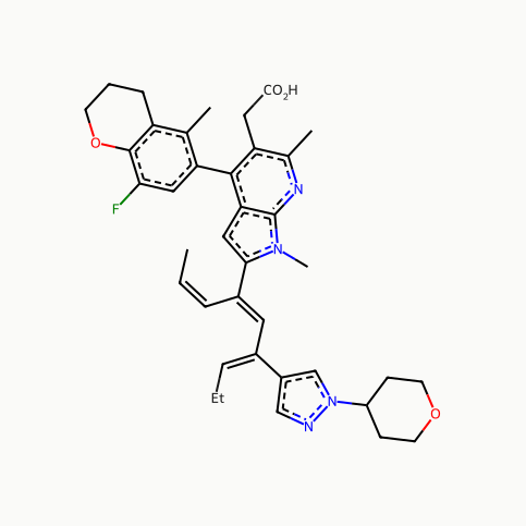 C\C=C/C(=C\C(=C\CC)c1cnn(C2CCOCC2)c1)c1cc2c(-c3cc(F)c4c(c3C)CCCO4)c(CC(=O)O)c(C)nc2n1C